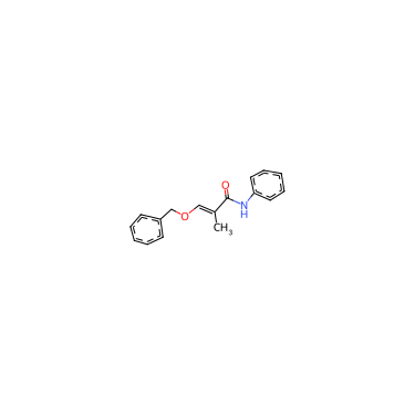 C/C(=C\OCc1ccccc1)C(=O)Nc1ccccc1